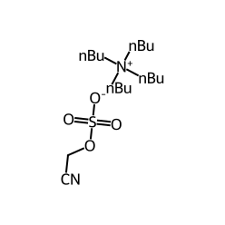 CCCC[N+](CCCC)(CCCC)CCCC.N#CCOS(=O)(=O)[O-]